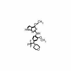 CCOc1nc(Nc2ccc(C(N3CCOCC3)C(F)(F)F)cc2OC)nc2[nH]ccc12